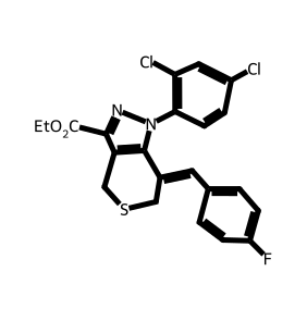 CCOC(=O)c1nn(-c2ccc(Cl)cc2Cl)c2c1CSC/C2=C\c1ccc(F)cc1